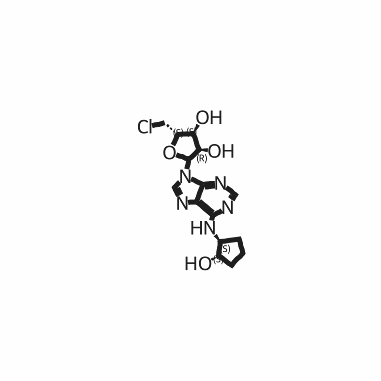 O[C@@H]1[C@@H](CCl)OC(n2cnc3c(N[C@H]4CCC[C@@H]4O)ncnc32)[C@@H]1O